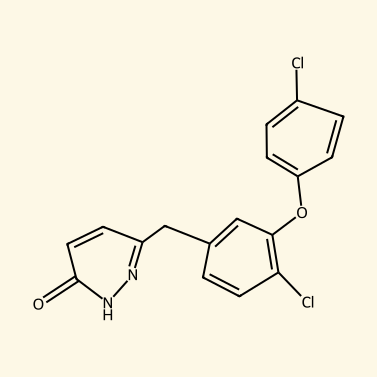 O=c1ccc(Cc2ccc(Cl)c(Oc3ccc(Cl)cc3)c2)n[nH]1